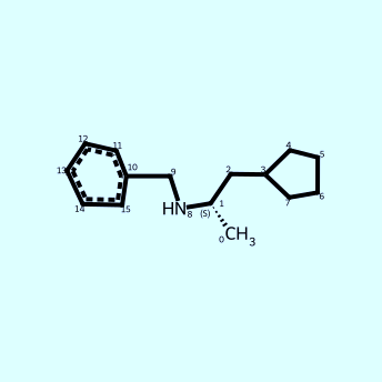 C[C@@H](CC1CCCC1)NCc1cc[c]cc1